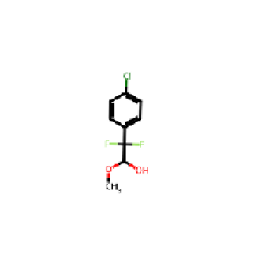 COC(O)C(F)(F)c1ccc(Cl)cc1